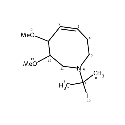 COC1/C=C\CCN(C(C)(C)I)CC1OC